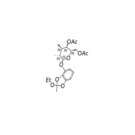 CCOC1(C)Oc2cccc(O[C@@H]3O[C@H](COC(C)=O)[C@H](OC(C)=O)[C@H](C)[C@H]3C)c2O1